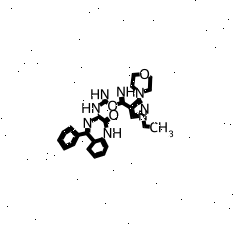 CCn1cc(C(=N)OC(=N)N[C@H]2N=C(c3ccccc3)C3CC=CC=C3NC2=O)c(N2CCOCC2)n1